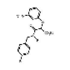 CCOC(=O)C(Oc1cccc(SC)c1)C(=O)N(F)Cc1ccc(Br)cc1